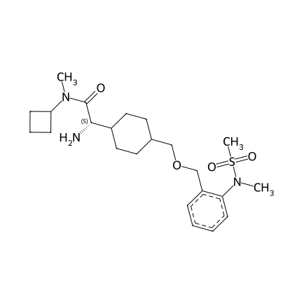 CN(C(=O)[C@@H](N)C1CCC(COCc2ccccc2N(C)S(C)(=O)=O)CC1)C1CCC1